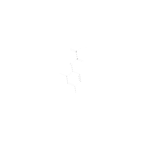 C=C(C)C(=O)Nc1ccc(Cl)cc1Cl